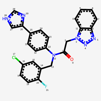 O=C(Cn1nnc2ccccc21)N(Cc1cc(Cl)ccc1F)c1ccc(-c2c[nH]cn2)cc1